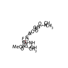 COC(=O)N[C@H]1CC2=C[C@@H]1[C@](c1cccc(F)c1)(C1CCN(CC3CN(c4ccc(S(=O)(=O)C5CN(C(=O)/C=C/CN(C)C)C5)cc4)C3)CC1)CNCCC(C)(O)C2